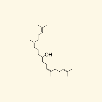 CC(C)=CCC/C(C)=C\CCC(O)CC/C=C(/C)CCC=C(C)C